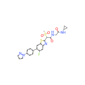 CS(=O)(=O)C(C(=O)NCC(=O)NC1CC1)c1nc2cc(F)c(-c3ccc(-n4cccn4)cc3)cc2s1